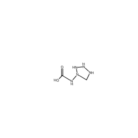 O=C(O)NN1CNNN1